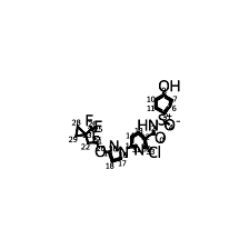 O=C(N[S+]([O-])c1ccc(O)cc1)c1ccc(-n2ccc(OCCC3(C(F)(F)F)CC3)n2)nc1Cl